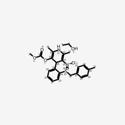 CCO.COC(=O)OC1=C(C)NC(C)=C([N+](=O)[O-])C1c1ccccc1SCc1ccc(C)cc1